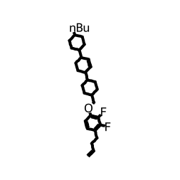 C=CCCc1ccc(OCC2CCC(C3C=CC(C4CCC(CCCC)CC4)CC3)CC2)c(F)c1F